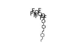 CCCC1CCC(/C=C/c2ccc(-c3ccc(C(F)(F)Oc4cc(F)c(OC(F)=C(F)F)c(F)c4)cc3)cc2)CC1